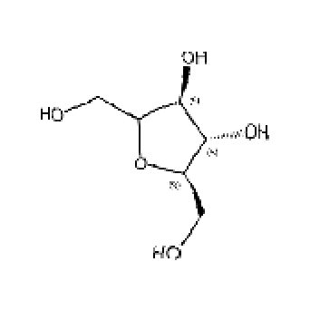 OCC1O[C@H](CO)[C@@H](O)[C@@H]1O